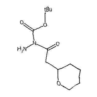 CC(C)(C)OC(=O)N(N)C(=O)CC1CCCCO1